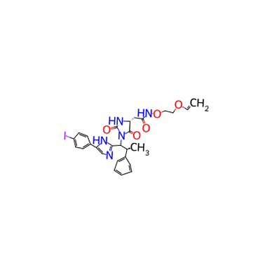 C=COCCONC(=O)C[C@H]1NC(=O)N(C(c2ncc(-c3ccc(I)cc3)[nH]2)[C@@H](C)c2ccccc2)C1=O